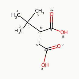 CC(C)(C)[C@@H](CC(=O)O)C(=O)O